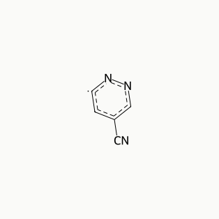 N#Cc1c[c]nnc1